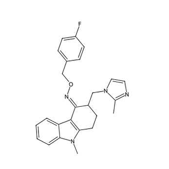 Cc1nccn1CC1CCc2c(c3ccccc3n2C)/C1=N/OCc1ccc(F)cc1